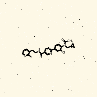 CC(=O)N(CC1CC1)c1ccc(-c2ccc(C(=O)NCCc3cccnc3F)cn2)cc1Cl